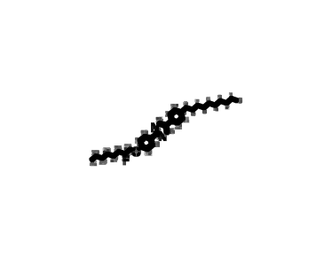 CCCCCCCCCCc1ccc(-c2cnc(-c3ccc(OCC(F)CCCCCC)cc3)nc2)cc1